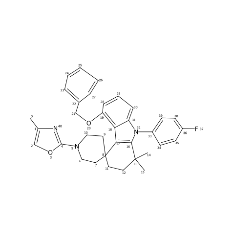 Cc1coc(N2CCC3(CC2)CCC(C)(C)c2c3c3c(OCc4ccccc4)cccc3n2-c2ccc(F)cc2)n1